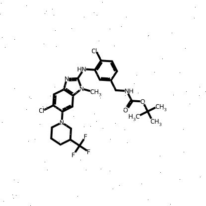 Cn1c(Nc2cc(CNC(=O)OC(C)(C)C)ccc2Cl)nc2cc(Cl)c(N3CCCC(C(F)(F)F)C3)cc21